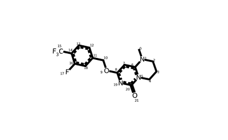 CN1CCCn2c1cc(OCc1ccc(C(F)(F)F)c(F)c1)nc2=O